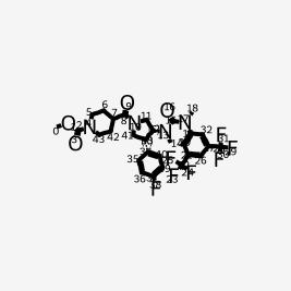 COC(=O)N1CCC(C(=O)N2C[C@@H](N(C)C(=O)N(C)c3cc(C(F)(F)F)cc(C(F)(F)F)c3)[C@H](c3ccc(F)cc3)C2)CC1